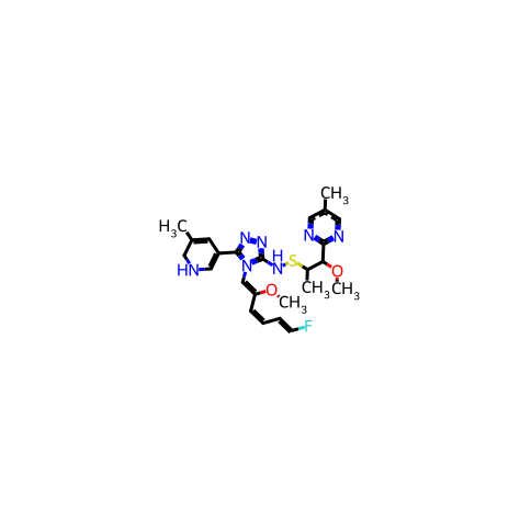 COC(/C=C\C=C\F)=C\n1c(NSC(C)C(OC)c2ncc(C)cn2)nnc1C1=CNCC(C)=C1